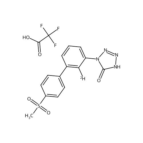 O=C(O)C(F)(F)F.[2H]c1c(-c2ccc(S(C)(=O)=O)cc2)cccc1-n1nn[nH]c1=O